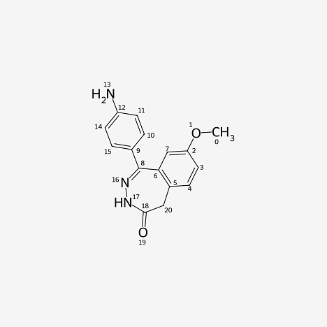 COc1ccc2c(c1)C(c1ccc(N)cc1)=NNC(=O)C2